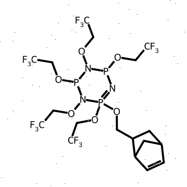 FC(F)(F)CON1P(OCC(F)(F)F)N=P(OCC2CC3C=CC2C3)(OCC(F)(F)F)N(OCC(F)(F)F)P1OCC(F)(F)F